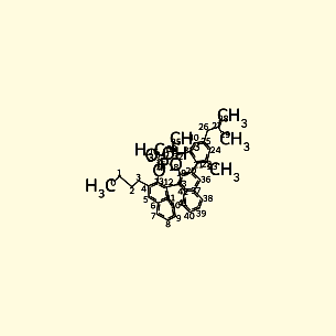 CCCCc1cc2ccccc2c2c1OP(=O)(O)Oc1c(-c3c(C)cc(CC(C)C)cc3CC(C)C)cc3ccccc3c1-2